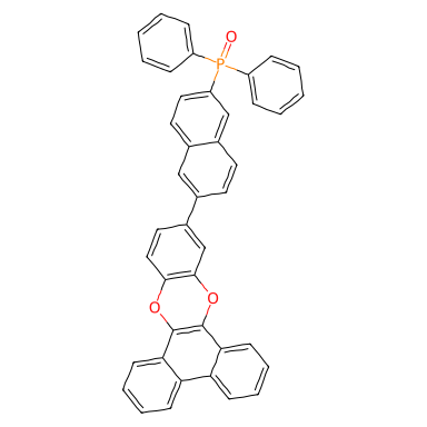 O=P(c1ccccc1)(c1ccccc1)c1ccc2cc(-c3ccc4c(c3)Oc3c(c5ccccc5c5ccccc35)O4)ccc2c1